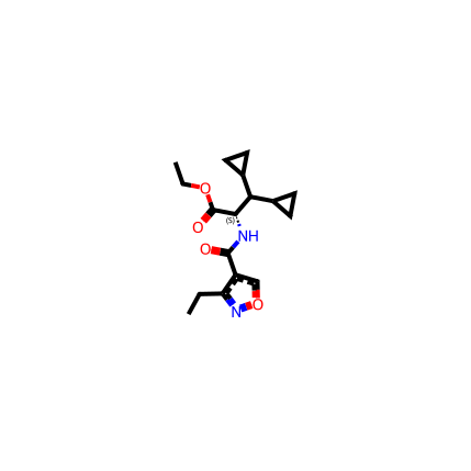 CCOC(=O)[C@@H](NC(=O)c1conc1CC)C(C1CC1)C1CC1